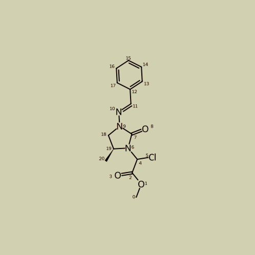 COC(=O)C(Cl)N1C(=O)N(/N=C/c2ccccc2)C[C@@H]1C